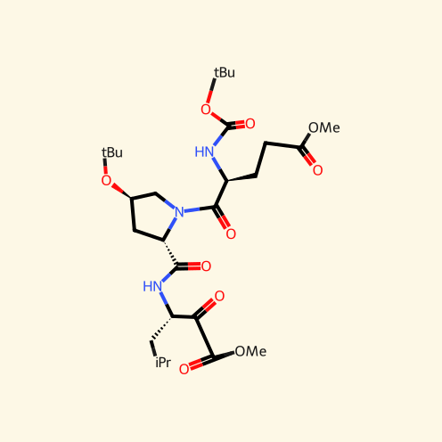 COC(=O)CC[C@H](NC(=O)OC(C)(C)C)C(=O)N1C[C@H](OC(C)(C)C)C[C@H]1C(=O)N[C@@H](CC(C)C)C(=O)C(=O)OC